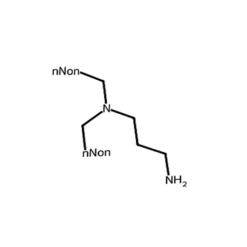 CCCCCCCCCCN(CCCN)CCCCCCCCCC